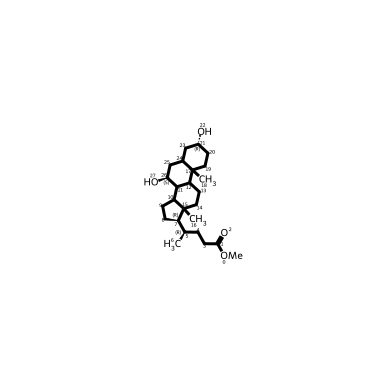 COC(=O)CC[C@@H](C)[C@H]1CCC2C3C(CCC21C)C1(C)CC[C@@H](O)CC1C[C@@H]3O